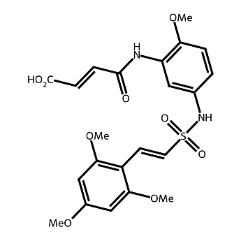 COc1cc(OC)c(C=CS(=O)(=O)Nc2ccc(OC)c(NC(=O)C=CC(=O)O)c2)c(OC)c1